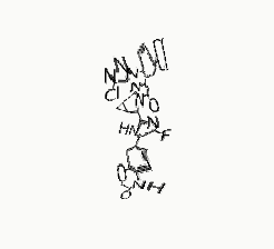 O=C1COc2cc(-c3[nH]c(C4C5CC5c5nc(-c6cc(Cl)ccc6-n6cc(Cl)nn6)cc(=O)n54)nc3F)ccc2N1